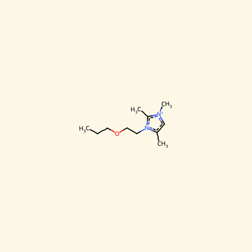 CCCOCCn1c(C)c[n+](C)c1C